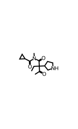 CCC(C(C)=O)(C(=O)N(C)C(=O)C1CC1)C1CCNC1